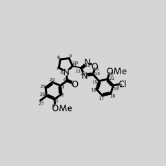 COc1cc(C(=O)N2CCC[C@H]2c2noc(-c3cccc(Cl)c3OC)n2)ccc1C